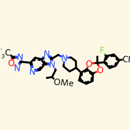 COC(C)Cn1c(CN2CCC(c3cccc4c3OC(C)(c3ccc(C#N)cc3F)O4)CC2)nc2cc(-c3noc(C(F)(F)F)n3)ncc21